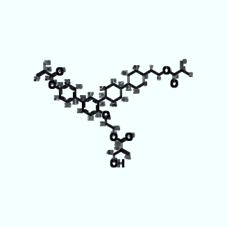 C=C(C)C(=O)OCCC1CCC(C2CCC(c3cc(-c4ccc(OC(=O)C(=C)C)cc4)ccc3OCCOC(=O)C(=C)CO)CC2)CC1